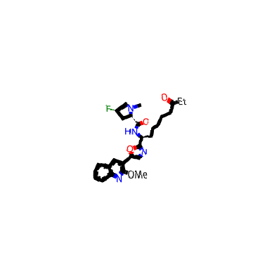 CCC(=O)CCCCC[C@H](NC(=O)[C@@H]1C[C@H](F)CN1C)c1ncc(-c2cc3ccccc3nc2OC)o1